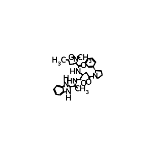 CC1CC(C(=O)N[C@@H](CC(=O)N2CCC[C@@H]2c2ccccc2)C(=O)N[C@@H](C)C2Nc3ccccc3N2)N(C)O1